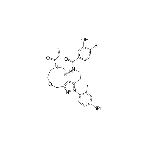 C=CC(=O)N1CCOCc2nn(-c3ccc(C(C)C)cc3C)c3c2[C@H](C1)N(C(=O)c1ccc(Br)c(O)c1)CC3